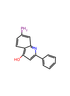 Oc1cc(-c2ccccc2)nc2cc(P)ccc12